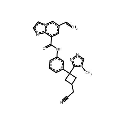 C=Cc1cc(C(=O)Nc2cccc(C3(c4nncn4C)CC(CC#N)C3)c2)c2nccn2c1